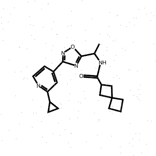 CC(NC(=O)C1CC2(CCC2)C1)c1nc(-c2ccnc(C3CC3)c2)no1